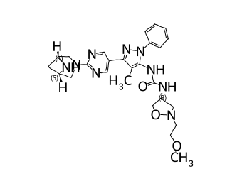 COCCN1C[C@@H](NC(=O)Nc2c(C)c(-c3cnc(N4C[C@H]5C[C@@H](C4)N5)nc3)nn2-c2ccccc2)CO1